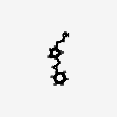 OCCc1coc(COc2ccccc2)n1